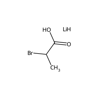 CC(Br)C(=O)O.[LiH]